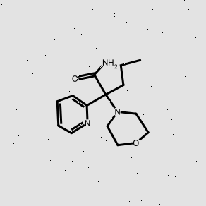 CCCC(C(N)=O)(c1ccccn1)N1CCOCC1